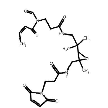 C/C=C\C(=O)N(C=O)CCC(=O)NCC(C)(C)C1OC1(C)CNC(=O)CCN1C(=O)C=CC1=O